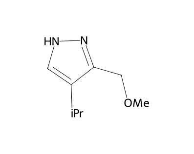 COCc1n[nH]cc1C(C)C